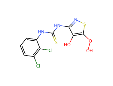 OOc1snc(NC(=S)Nc2cccc(Cl)c2Cl)c1O